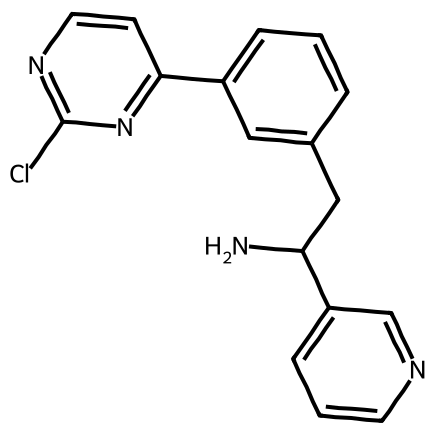 NC(Cc1cccc(-c2ccnc(Cl)n2)c1)c1cccnc1